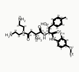 CCOc1ccc(NC(=O)[C@@H](NC(=O)[C@@H](N)CC(=O)N(CCN)CCN)[C@H](O)c2ccc(C)cc2)c(F)c1